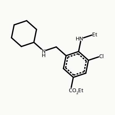 CCNc1c(Cl)cc(C(=O)OCC)cc1CNC1CCCCC1